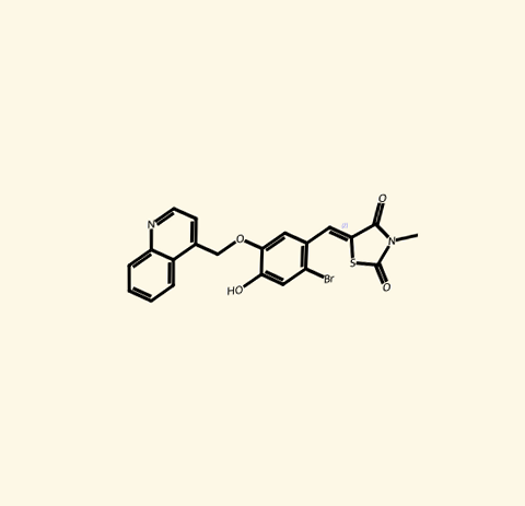 CN1C(=O)S/C(=C\c2cc(OCc3ccnc4ccccc34)c(O)cc2Br)C1=O